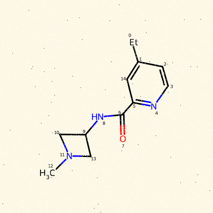 CCc1ccnc(C(=O)NC2CN(C)C2)c1